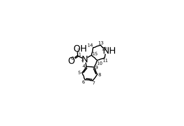 O=C(O)N1c2ccccc2C2CNCCC21